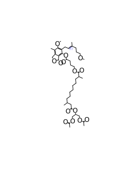 COCCC/C(C)=C/Cc1c(OC)c(C)c2c(c1OC(=O)CCCOC(=O)C(C)CCCCCCCC(C)CC(=O)OC(COC(C)=O)COC(C)=O)C(=O)OC2